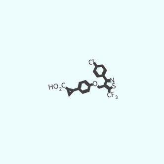 O=C(O)C1CC1c1ccc(OCc2c(C3=CCC(Cl)C=C3)nsc2C(F)(F)F)cc1